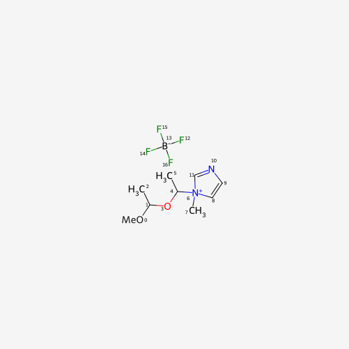 COC(C)OC(C)[N+]1(C)C=CN=C1.F[B-](F)(F)F